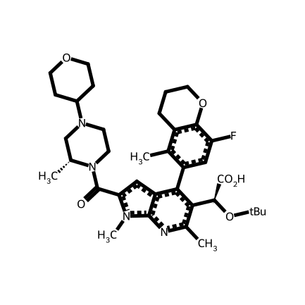 Cc1nc2c(cc(C(=O)N3CCN(C4CCOCC4)C[C@H]3C)n2C)c(-c2cc(F)c3c(c2C)CCCO3)c1[C@H](OC(C)(C)C)C(=O)O